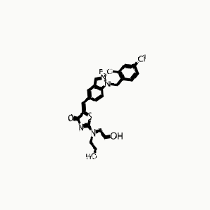 O=C1N=C(N(CCO)CCO)S/C1=C\c1ccc2c(cnn2Cc2ccc(Cl)cc2C(F)(F)F)c1